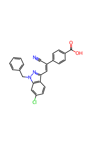 N#CC(=Cc1nn(Cc2ccccc2)c2cc(Cl)ccc12)c1ccc(C(=O)O)cc1